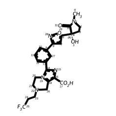 CN1CC[C@@](O)(c2cc(-c3cccc(-c4nc(C(=O)O)c5n4CCN(CCC(F)(F)F)C5)c3)no2)C1=O